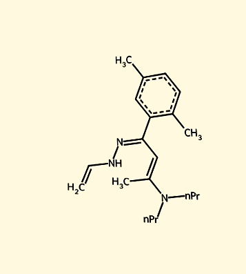 C=CN/N=C(\C=C(/C)N(CCC)CCC)c1cc(C)ccc1C